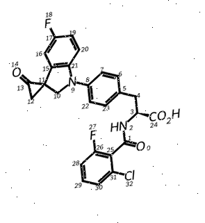 O=C(N[C@@H](Cc1ccc(N2CC3(CC3=O)c3cc(F)ccc32)cc1)C(=O)O)c1c(F)cccc1Cl